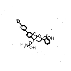 C[C@@H](c1ccc(-c2ccc(C3CCC3)nc2)cc1)N1CC[C@](CC(C)(C)O)(c2ccccc2)OC1=O.NC(=O)O